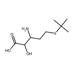 CC(C)(C)SCCC(N)C(O)C(=O)O